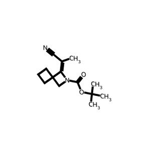 CC(C#N)=C1N(C(=O)OC(C)(C)C)CC12CCC2